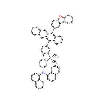 CC1(C)c2cc(-c3c4ccccc4c(-c4ccc5oc6ccccc6c5c4)c4cc5ccccc5cc34)ccc2-c2ccc(N(c3cccc4ccccc34)c3cccc4ccccc34)cc21